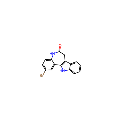 O=C1Cc2c([nH]c3ccccc23)-c2cc(Br)ccc2N1